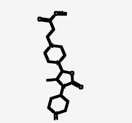 COC(=O)CCN1CCN(C2OC(=O)N(C3CCNCC3)C2C)CC1